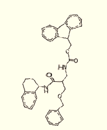 O=C(NCC(COCc1ccccc1)C(=O)NC1CCCc2ccccc21)OCC1c2ccccc2-c2ccccc21